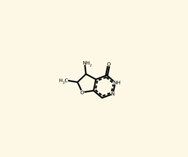 CC1Oc2cn[nH]c(=O)c2C1N